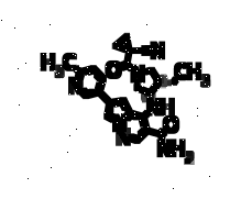 CC[C@H]1CN(C(=O)C2(C#N)CC2)C[C@H]1Nc1c(C(N)=O)cnn2cc(-c3ccc(C)nc3)cc12